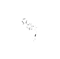 CC(CCC#C[Si](C)(C)C)Oc1nncc(-c2ccccc2F)n1